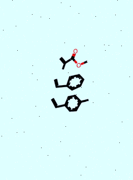 C=C(C)C(=O)OC.C=Cc1ccc(C)cc1.C=Cc1ccccc1